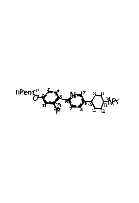 CCCCCOc1ccc(-c2ccc(C3CCC(CCC)CC3)cn2)c(F)c1